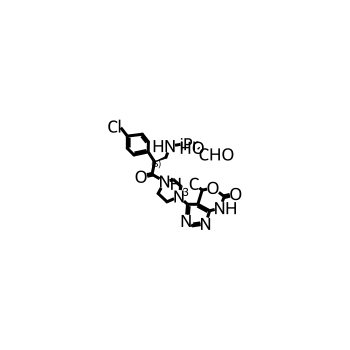 CC(C)NC[C@@H](C(=O)N1CCN(c2ncnc3c2C(C)OC(=O)N3)CC1)c1ccc(Cl)cc1.O=CO